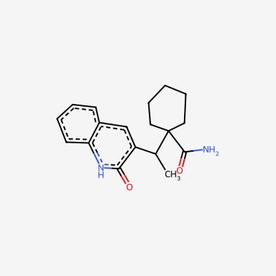 CC(c1cc2ccccc2[nH]c1=O)C1(C(N)=O)CCCCC1